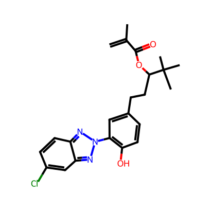 C=C(C)C(=O)OC(CCc1ccc(O)c(-n2nc3ccc(Cl)cc3n2)c1)C(C)(C)C